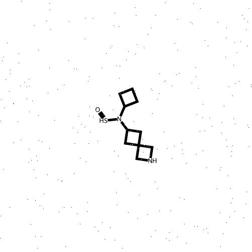 O=[SH]N(C1CCC1)C1CC2(CNC2)C1